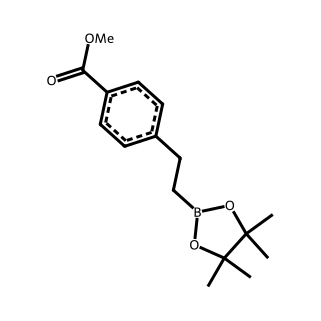 COC(=O)c1ccc(CCB2OC(C)(C)C(C)(C)O2)cc1